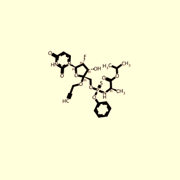 C#CCO[C@]1(COP(=S)(N[C@H](C)C(=O)OC(C)C)Oc2ccccc2)O[C@@H](n2ccc(=O)[nH]c2=O)[C@H](F)[C@@H]1O